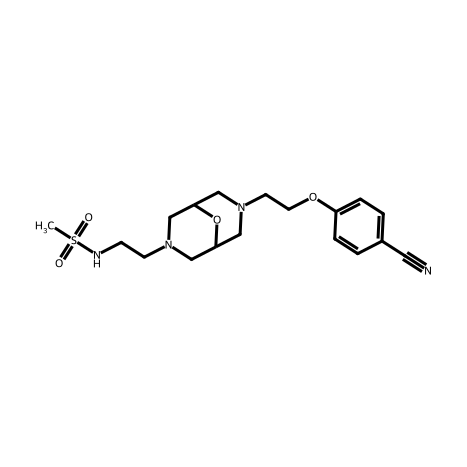 CS(=O)(=O)NCCN1CC2CN(CCOc3ccc(C#N)cc3)CC(C1)O2